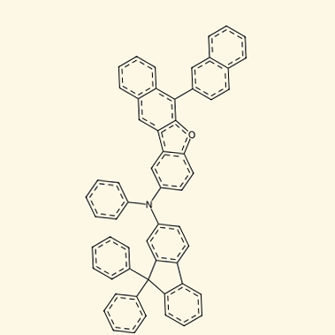 c1ccc(N(c2ccc3c(c2)C(c2ccccc2)(c2ccccc2)c2ccccc2-3)c2ccc3oc4c(-c5ccc6ccccc6c5)c5ccccc5cc4c3c2)cc1